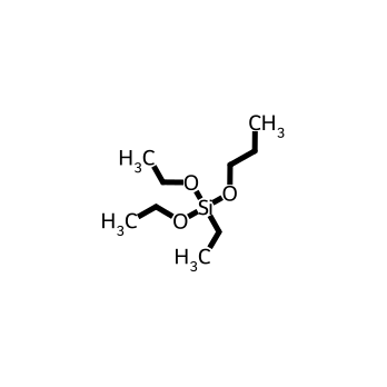 CCCO[Si](CC)(OCC)OCC